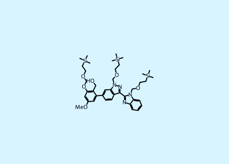 COc1cc(OCOCC[Si](C)(C)C)c(CO)c(-c2ccc3c(-c4nc5ccccc5n4COCC[Si](C)(C)C)nn(COCC[Si](C)(C)C)c3c2)c1